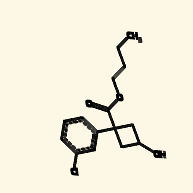 CCCCOC(=O)C1(c2cccc(Cl)c2)CC(O)C1